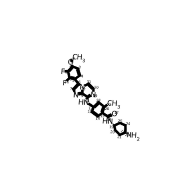 COc1ccc(-c2cnc3c(Nc4ccc(C(=O)N[C@H]5CC[C@@H](N)CC5)c(C)c4)nccn23)c(F)c1F